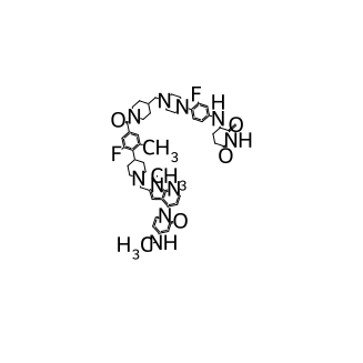 CNc1ccn(-c2ccnc3c2cc(CN2CCC(c4c(C)cc(C(=O)N5CCC(CN6CCN(c7ccc(N[C@@H]8CCC(=O)NC8=O)cc7F)CC6)CC5)cc4F)CC2)n3C)c(=O)c1